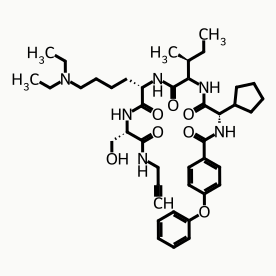 C#CCNC(=O)[C@H](CO)NC(=O)[C@H](CCCCN(CC)CC)NC(=O)C(NC(=O)[C@@H](NC(=O)c1ccc(Oc2ccccc2)cc1)C1CCCC1)[C@@H](C)CC